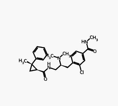 CNC(=O)c1ccc(C[C@@H](CNC(=O)[C@H]2C[C@]2(C)c2ccccc2)N(C)C)c(Cl)c1